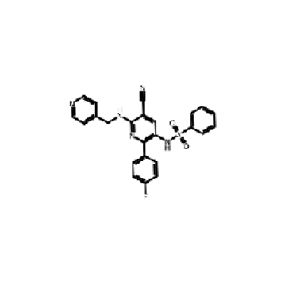 N#Cc1cc(NS(=O)(=O)c2ccccc2)c(-c2ccc(F)cc2)nc1NCc1ccncc1